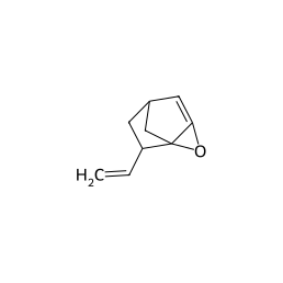 C=CC1CC2C=C3OC31C2